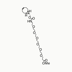 COC(=O)CCOCCOCCOCCOCCOCCOCCNC(=O)OC[C@H]1[C@@H]2CCC#CCC[C@@H]21